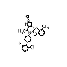 C[C@H]1c2nn(C3CC3)cc2N(Cc2ccccc2C(F)(F)F)C(=O)N1C1CCN(c2c(F)cccc2Cl)CC1